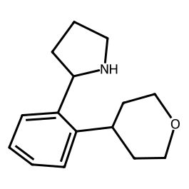 c1ccc(C2CCCN2)c(C2CCOCC2)c1